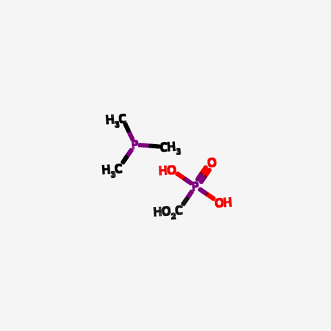 CP(C)C.O=C(O)P(=O)(O)O